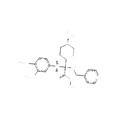 COc1ccc(S(=O)(=O)[C@@](NCc2ccncc2)(C(=O)NO)[C@H]2CC[C@H](OC)CC2)cc1OC.Cl